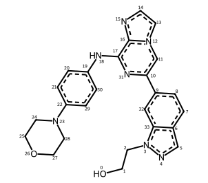 OCCn1ncc2ccc(-c3cn4ccnc4c(Nc4ccc(N5CCOCC5)cc4)n3)cc21